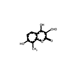 Cc1c(O)ccc2c(O)c(C=O)c(=O)oc12